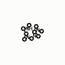 c1ccc(Nc2ccccc2-c2ccc3c(c2)c2ccccc2n3-c2cccc(-n3c4ccccc4c4c3ccc3c5ccccc5n(-c5ccccc5)c34)c2)cc1